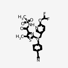 Cc1sc(N(Cc2ccc(OC(F)F)nc2)c2ccc(C#N)cc2)nc1C(=O)NS(C)(=O)=O